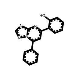 Oc1ccccc1-c1cc(-c2ccccc2)n2ncnc2n1